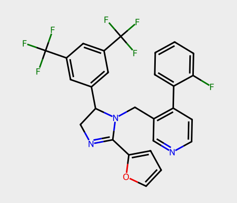 Fc1ccccc1-c1ccncc1CN1C(c2ccco2)=NCC1c1cc(C(F)(F)F)cc(C(F)(F)F)c1